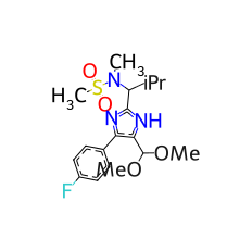 COC(OC)c1[nH]c(C(C(C)C)N(C)S(C)(=O)=O)nc1-c1ccc(F)cc1